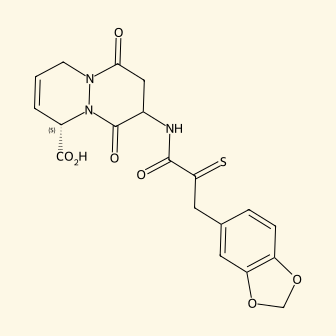 O=C(NC1CC(=O)N2CC=C[C@@H](C(=O)O)N2C1=O)C(=S)Cc1ccc2c(c1)OCO2